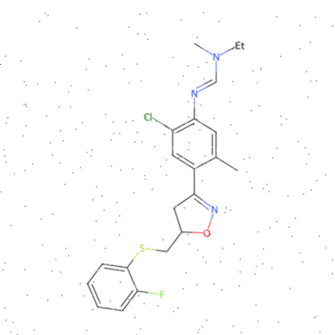 CCN(C)C=Nc1cc(C)c(C2=NOC(CSc3ccccc3F)C2)cc1Cl